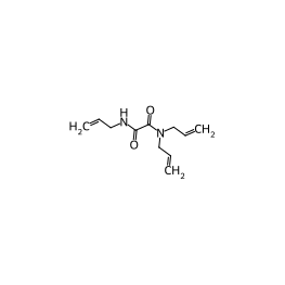 C=CCNC(=O)C(=O)N(CC=C)CC=C